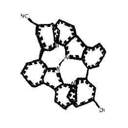 N#Cc1ccnc(-c2cccc3c4ccccc4n(-n4c5ccccc5c5cccc(-c6cc(C#N)ccn6)c54)c23)c1